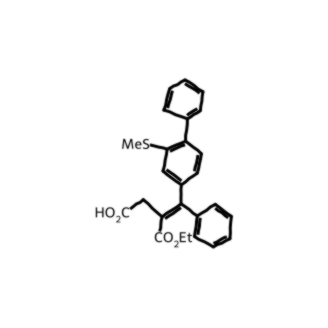 CCOC(=O)/C(CC(=O)O)=C(\c1ccccc1)c1ccc(-c2ccccc2)c(SC)c1